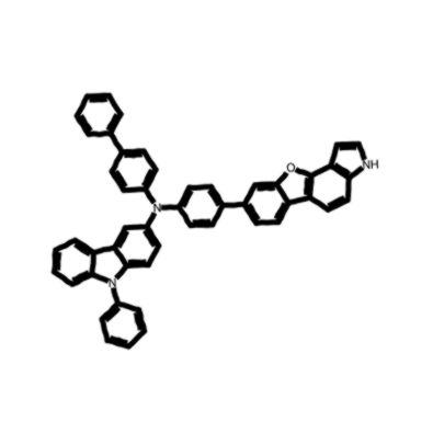 c1ccc(-c2ccc(N(c3ccc(-c4ccc5c(c4)oc4c6cc[nH]c6ccc54)cc3)c3ccc4c(c3)c3ccccc3n4-c3ccccc3)cc2)cc1